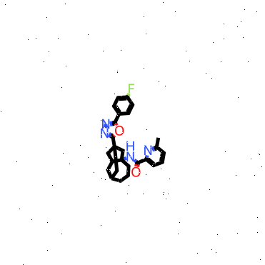 Cc1cccc(C(=O)NC23CCCC4CC2CC(c2nnc(-c5ccc(F)cc5)o2)(C4)C3)n1